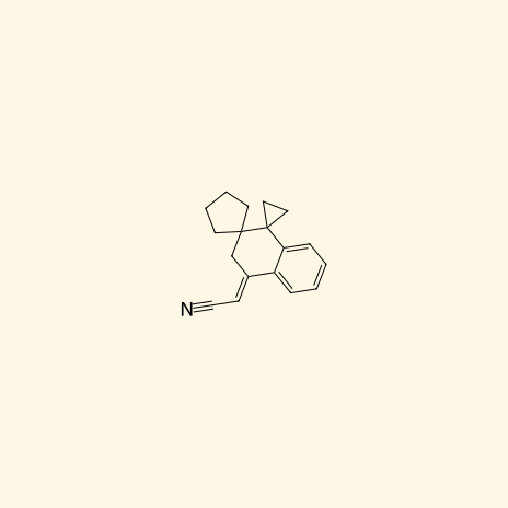 N#CC=C1CC2(CCCC2)C2(CC2)c2ccccc21